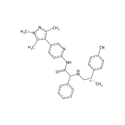 Cc1nn(C)c(C)c1-c1ccc(NC(=O)C(NC[C@@H](C)c2ccc(C#N)cc2)c2ccccc2)nc1